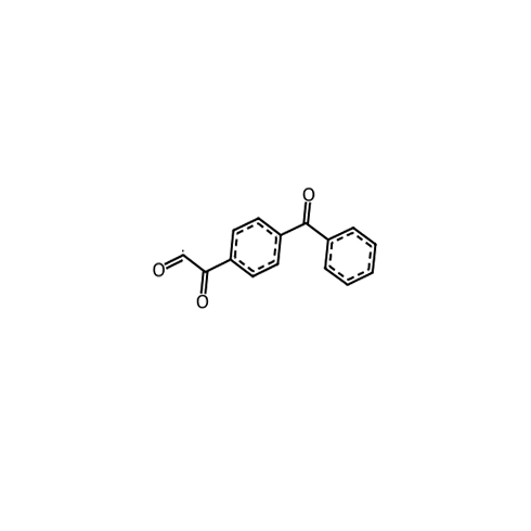 O=[C]C(=O)c1ccc(C(=O)c2ccccc2)cc1